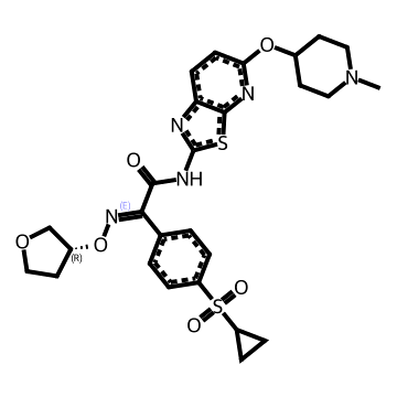 CN1CCC(Oc2ccc3nc(NC(=O)/C(=N/O[C@@H]4CCOC4)c4ccc(S(=O)(=O)C5CC5)cc4)sc3n2)CC1